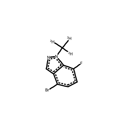 [2H]C([2H])([2H])n1ncc2c(Br)ccc(F)c21